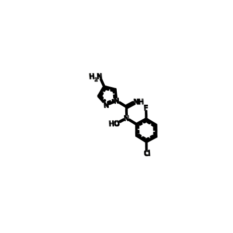 N=C(N(O)c1cc(Cl)ccc1F)n1cc(N)cn1